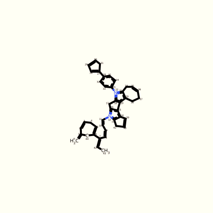 C=C1C=CCC=C(C(/C=C\C=Cn2c3c(c4c2Cc2c-4c4c(n2-c2ccc(C5=CC=CC5)cc2)CC=CCC4)C=CC3)=C/C)C1